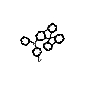 Brc1ccc(N(c2ccccc2)c2ccc3c(c2)C2(c4ccccc4-c4ccccc42)c2ccccc2-3)cc1